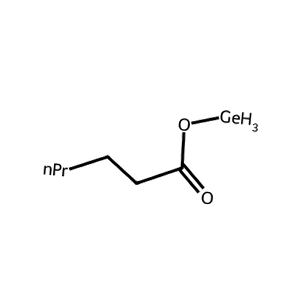 CCCCCC(=O)[O][GeH3]